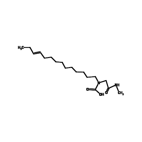 CCC=CCCCCCCCCCCN(CC(=O)NC)C(=O)O